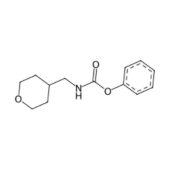 O=C(NCC1CCOCC1)Oc1ccccc1